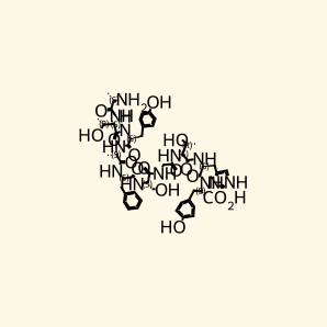 C[C@H](N)C(=O)N[C@H](C(=O)N[C@@H](Cc1ccc(O)cc1)C(=O)N[C@@H](C)C(=O)N[C@@H](Cc1ccccc1)C(=O)N[C@@H](CO)C(=O)NCC(=O)N[C@H](C(=O)N[C@@H](Cc1c[nH]cn1)C(=O)N[C@@H](Cc1ccc(O)cc1)C(=O)O)[C@@H](C)O)[C@@H](C)O